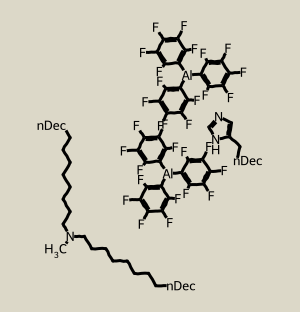 CCCCCCCCCCCCCCCCCCN(C)CCCCCCCCCCCCCCCCCC.CCCCCCCCCCCc1cnc[nH]1.Fc1c(F)c(F)[c]([Al]([c]2c(F)c(F)c(F)c(F)c2F)[c]2c(F)c(F)c(F)c(F)c2F)c(F)c1F.Fc1c(F)c(F)[c]([Al]([c]2c(F)c(F)c(F)c(F)c2F)[c]2c(F)c(F)c(F)c(F)c2F)c(F)c1F